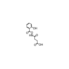 O=C(O)CCC(=O)NOC(=O)c1ccccc1O